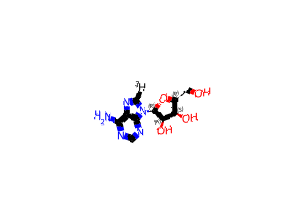 [3H]c1nc2c(N)ncnc2n1[C@@H]1O[C@H](CO)[C@@H](O)[C@H]1O